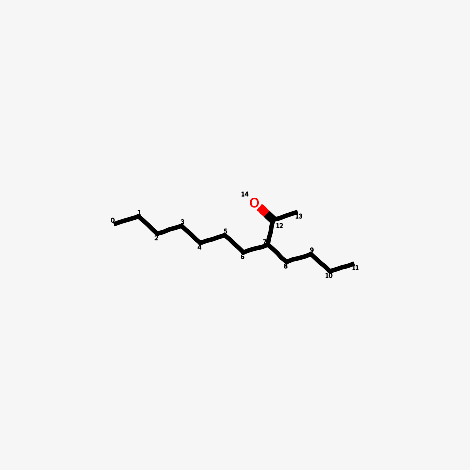 CCCCCCCC(CCCC)C(C)=O